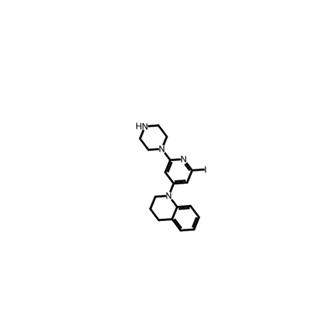 Ic1cc(N2CCCc3ccccc32)cc(N2CCNCC2)n1